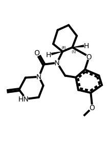 C=C1CN(C(=O)N2Cc3cc(OC)ccc3O[C@H]3CCCC[C@H]32)CCN1